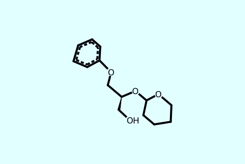 OC[C@@H](COc1ccccc1)OC1CCCCO1